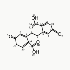 O=C1C=C(CCC2=CC(=O)CC=C2C(=O)O)C(C(=O)O)=CC1